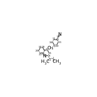 CCC(C)c1cc(OCc2ccc(C#N)cc2)c2ccccc2n1